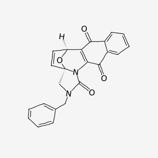 O=C1C2=C(C(=O)c3ccccc31)N1C(=O)N(Cc3ccccc3)C[C@@]13C=C[C@@H]2O3